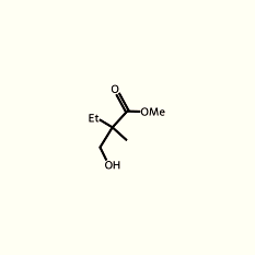 CCC(C)(CO)C(=O)OC